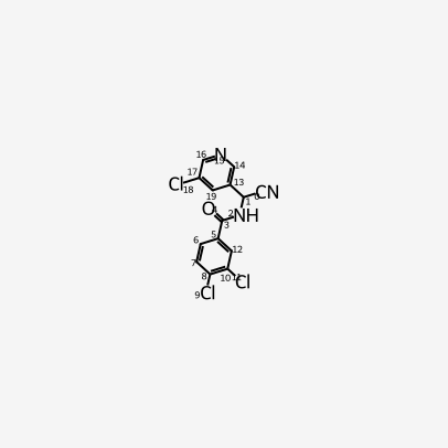 N#CC(NC(=O)c1ccc(Cl)c(Cl)c1)c1cncc(Cl)c1